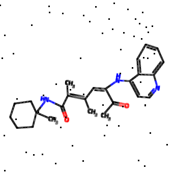 CC(=O)/C(=C\C(C)=C(/C)C(=O)NC1(C)CCCCC1)Nc1ccnc2ccccc12